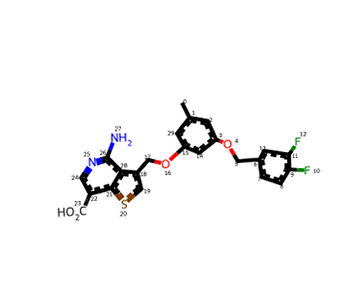 Cc1cc(OCc2ccc(F)c(F)c2)cc(OCc2csc3c(C(=O)O)cnc(N)c23)c1